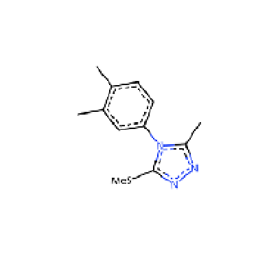 CSc1nnc(C)n1-c1ccc(C)c(C)c1